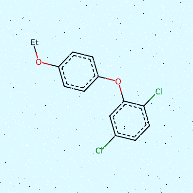 CCOc1ccc(Oc2cc(Cl)ccc2Cl)cc1